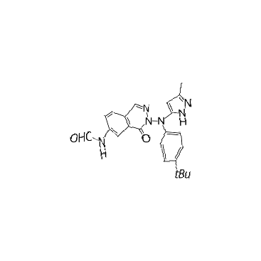 Cc1cc(N(c2ccc(C(C)(C)C)cc2)n2ncc3ccc(NC=O)cc3c2=O)[nH]n1